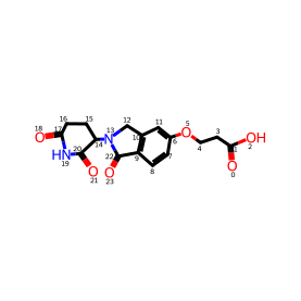 O=C(O)CCOc1ccc2c(c1)CN(C1CCC(=O)NC1=O)C2=O